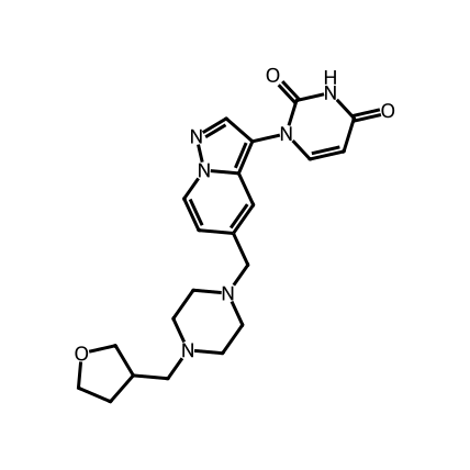 O=c1ccn(-c2cnn3ccc(CN4CCN(CC5CCOC5)CC4)cc23)c(=O)[nH]1